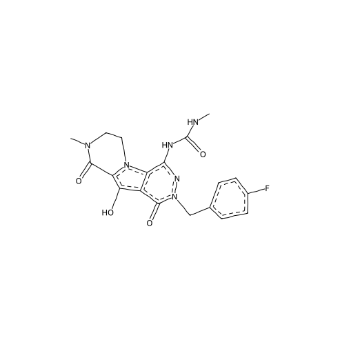 CNC(=O)Nc1nn(Cc2ccc(F)cc2)c(=O)c2c(O)c3n(c12)CCN(C)C3=O